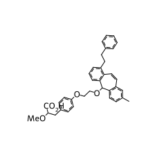 COC(Cc1ccc(OCCOC2c3ccc(C)cc3C=Cc3c(CCc4ccccc4)cccc32)cc1)C(=O)O